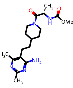 COC(=O)N[C@@H](C)C(=O)N1CCC(CCc2c(C)nc(C)nc2N)CC1